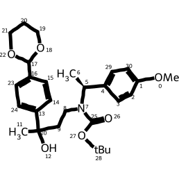 COc1ccc([C@H](C)N(CCC(C)(O)c2ccc(C3OCCCO3)cc2)C(=O)OC(C)(C)C)cc1